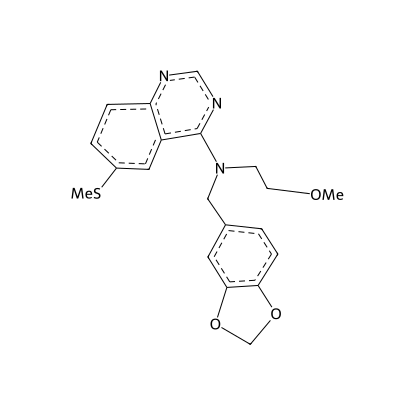 COCCN(Cc1ccc2c(c1)OCO2)c1ncnc2ccc(SC)cc12